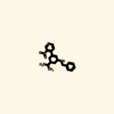 CC(C)C1CC(c2ccncc2[N+](=O)[O-])=CC(NCc2ccccc2)C1